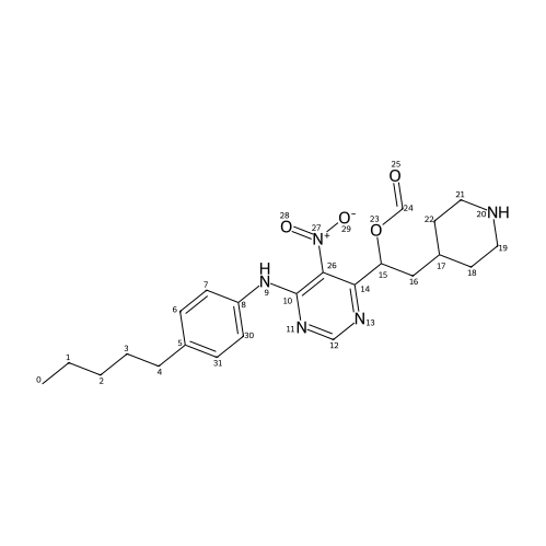 CCCCCc1ccc(Nc2ncnc(C(CC3CCNCC3)OC=O)c2[N+](=O)[O-])cc1